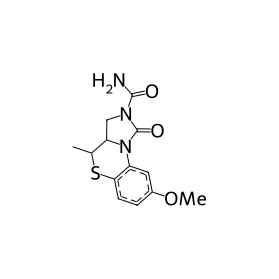 COc1ccc2c(c1)N1C(=O)N(C(N)=O)CC1C(C)S2